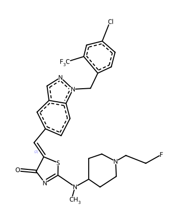 CN(C1=NC(=O)/C(=C/c2ccc3c(cnn3Cc3ccc(Cl)cc3C(F)(F)F)c2)S1)C1CCN(CCF)CC1